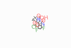 CN(C(=O)[C@@H]1[C@@H]2OC(C)(C)O[C@]2(C2CC2)C(C(C)(C)C)N1C(=O)O)c1cc(Cl)c(F)cc1F